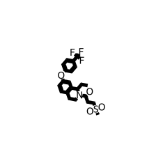 CCC1c2cc(Oc3ccc(C(F)(F)F)cc3)ccc2CCN1C(=O)CCS(C)(=O)=O